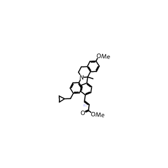 COC(=O)/C=C/c1ccc(C2(C)c3ccc(OC)cc3CCN2c2ccc(CC3CC3)cc2)cc1